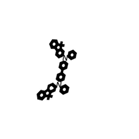 CC1(C)C2=CC(N(c3ccccc3)c3ccc(-c4ccc(N(c5ccccc5)c5ccc6c(c5)C(C)(C)c5ccccc5-6)cc4)cc3)=CCC2c2ccccc21